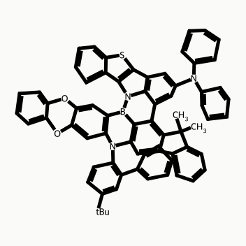 CC(C)(C)c1ccc(N2c3cc4c(cc3B3c5c2cc2c(c5-c5cc(N(c6ccccc6)c6ccccc6)cc6c7sc8ccccc8c7n3c56)C(C)(C)c3ccccc3-2)Oc2ccccc2O4)c(-c2ccccc2)c1